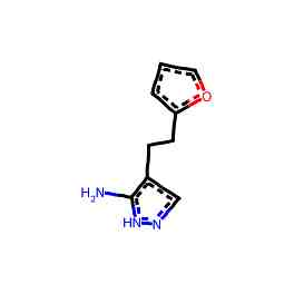 Nc1[nH]ncc1CCc1ccco1